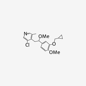 COc1ccc(C(Cc2c(C)cncc2Cl)OC)cc1OCC1CC1